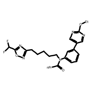 CCCC(=O)N(CCCCCc1noc(C(F)F)n1)c1cccc(-c2cnc(OCC)nc2)c1